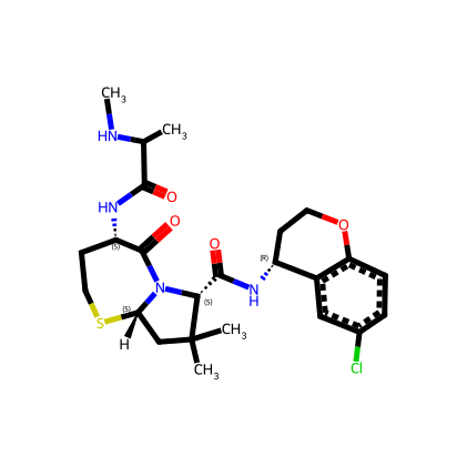 CNC(C)C(=O)N[C@H]1CCS[C@H]2CC(C)(C)[C@@H](C(=O)N[C@@H]3CCOc4ccc(Cl)cc43)N2C1=O